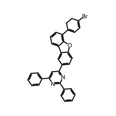 BrC1=CC=C(c2cccc3c2oc2ccc(-c4cc(-c5ccccc5)nc(-c5ccccc5)n4)cc23)CC1